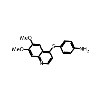 COc1cc2nccc(Sc3ccc(N)cc3)c2cc1OC